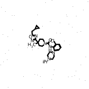 CC(C)N1CCN(c2cccc(Cl)c2NC(=O)N2CCC(C)(c3noc(CC4CC4)n3)CC2)CC1